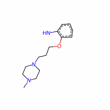 CN1CCN(CCCOc2ccccc2[NH])CC1